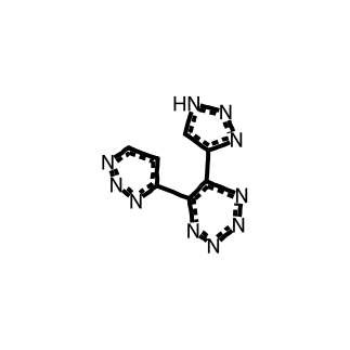 c1cc(-c2nnnnc2-c2c[nH]nn2)nnn1